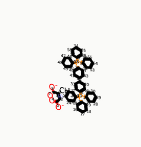 C/C(=C/C(=O)[O-])C(=O)[O-].c1ccc([P+](c2ccccc2)(c2ccccc2)c2ccccc2)cc1.c1ccc([P+](c2ccccc2)(c2ccccc2)c2ccccc2)cc1